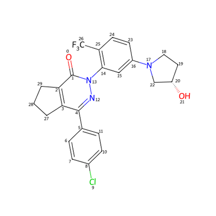 O=c1c2c(c(-c3ccc(Cl)cc3)nn1-c1cc(N3CC[C@H](O)C3)ccc1C(F)(F)F)CCC2